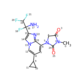 CN1C(=O)CN(c2cc(C3CC3)cn3cc(C(N)(F)C(F)F)nc23)C1=O